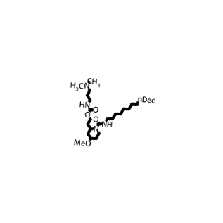 CCCCCCCCCCCCCCCCCCNC(=O)N1CCC(OC)CC1CCOC(=O)NCCCN(C)C